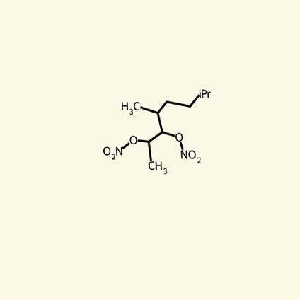 CC(C)CCC(C)C(O[N+](=O)[O-])C(C)O[N+](=O)[O-]